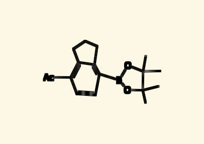 CC(=O)c1ccc(B2OC(C)(C)C(C)(C)O2)c2c1CCC2